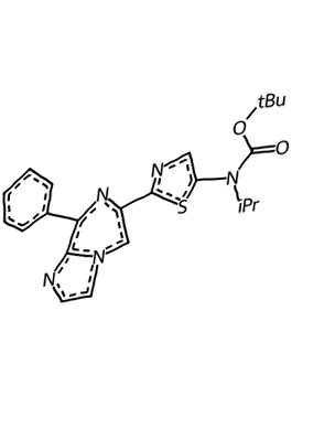 CC(C)N(C(=O)OC(C)(C)C)c1cnc(-c2cn3ccnc3c(-c3ccccc3)n2)s1